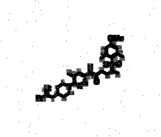 CCN(CC)CC1CCN(c2nnc(NC(=O)CCN(C)S(=O)(=O)c3c(C)cc(OC)cc3C)cc2C)CC1